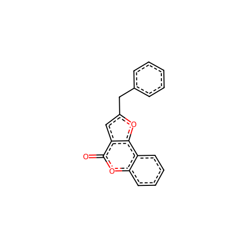 O=c1oc2ccccc2c2oc(Cc3ccccc3)cc12